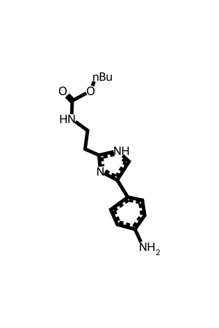 CCCCOC(=O)NCCc1nc(-c2ccc(N)cc2)c[nH]1